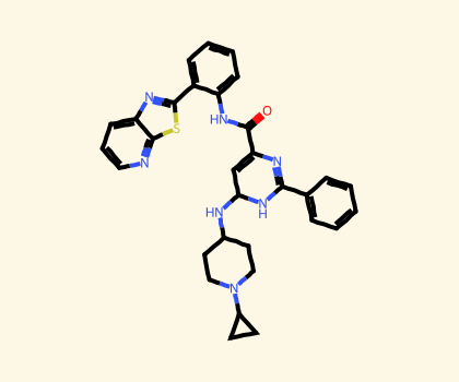 O=C(Nc1ccccc1-c1nc2cccnc2s1)C1=CC(NC2CCN(C3CC3)CC2)NC(c2ccccc2)=N1